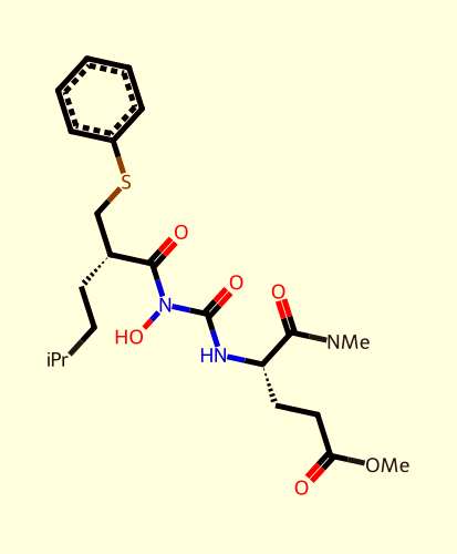 CNC(=O)[C@H](CCC(=O)OC)NC(=O)N(O)C(=O)[C@H](CCC(C)C)CSc1ccccc1